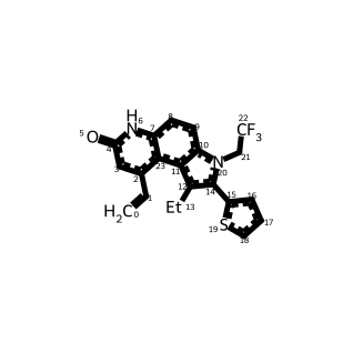 C=Cc1cc(=O)[nH]c2ccc3c(c(CC)c(-c4cccs4)n3CC(F)(F)F)c12